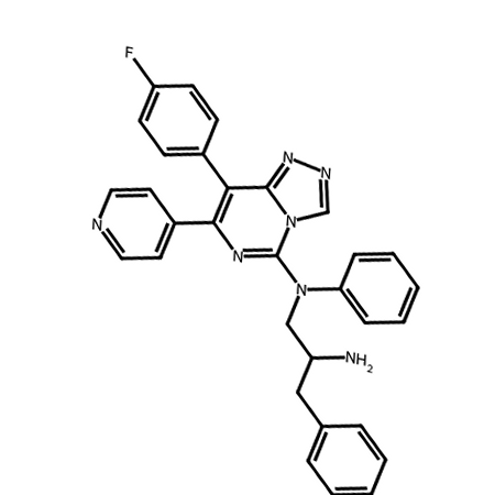 NC(Cc1ccccc1)CN(c1ccccc1)c1nc(-c2ccncc2)c(-c2ccc(F)cc2)c2nncn12